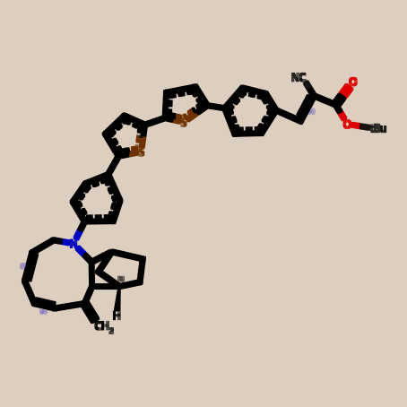 C=C1/C=C\C=C/CN(c2ccc(-c3ccc(-c4ccc(-c5ccc(/C=C(\C#N)C(=O)OC(C)(C)C)cc5)s4)s3)cc2)C2C3CC[C@@H](C3)C12